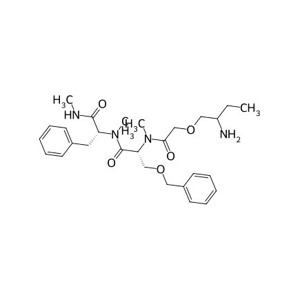 CCC(N)COCC(=O)N(C)[C@H](COCc1ccccc1)C(=O)N(C)[C@H](Cc1ccccc1)C(=O)NC